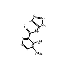 CSc1cccc(C(=O)Nc2nnn[nH]2)c1O